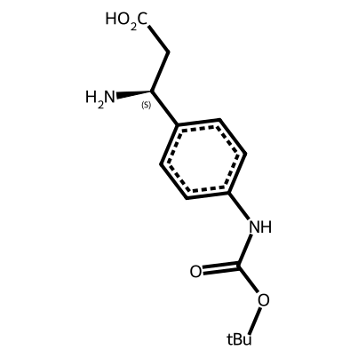 CC(C)(C)OC(=O)Nc1ccc([C@@H](N)CC(=O)O)cc1